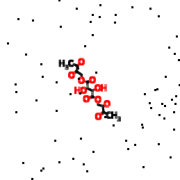 CC(=O)C(=O)COC(=O)C(O)C(O)C(=O)OCC(=O)C(C)=O